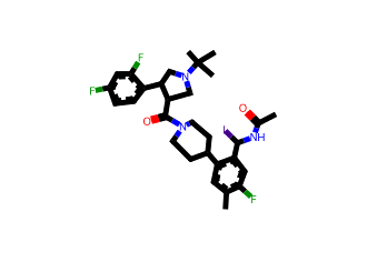 CC(=O)NC(I)c1cc(F)c(C)cc1C1CCN(C(=O)C2CN(C(C)(C)C)CC2c2ccc(F)cc2F)CC1